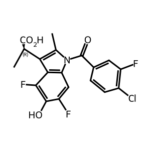 Cc1c([C@@H](C)C(=O)O)c2c(F)c(O)c(F)cc2n1C(=O)c1ccc(Cl)c(F)c1